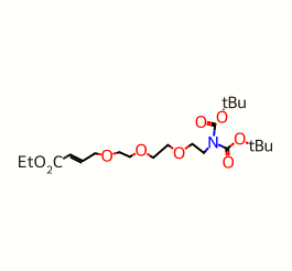 CCOC(=O)/C=C/COCCOCCOCCN(C(=O)OC(C)(C)C)C(=O)OC(C)(C)C